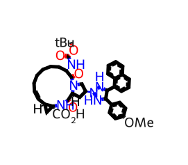 COc1ccc(C2NN([C@H]3C[C@H]4C(=O)N[C@]5(C(=O)O)C[C@H]5/C=C\CCCCC[C@H](NC(=O)OC(C)(C)C)C(=O)N4C3)NC2c2cccc3ccccc23)cc1